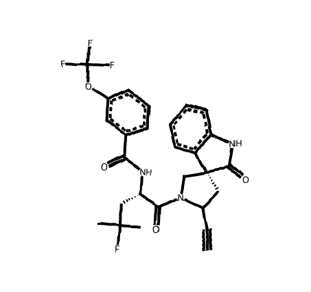 C#CC1C[C@@]2(CN1C(=O)[C@H](CC(C)(C)F)NC(=O)c1cccc(OC(F)(F)F)c1)C(=O)Nc1ccccc12